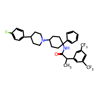 CC(C(=O)NC1(c2ccccc2)CCC(N2CCC(c3ccc(F)cc3)CC2)CC1)c1cc(C(F)(F)F)cc(C(F)(F)F)c1